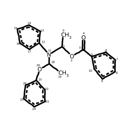 CC(OC(=O)c1ccccc1)N(c1ccccc1)C(C)Oc1ccccc1